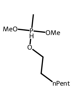 CCCCCCCO[PH](C)(OC)OC